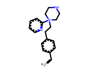 C=Cc1ccc(CC[N+]2(c3ccccn3)CCNCC2)cc1